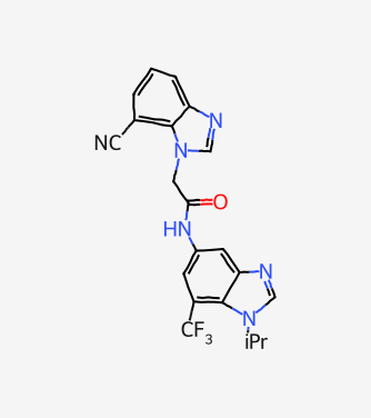 CC(C)n1cnc2cc(NC(=O)Cn3cnc4cccc(C#N)c43)cc(C(F)(F)F)c21